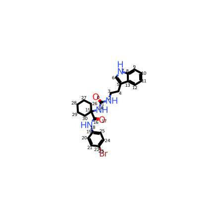 O=C(NCCc1c[nH]c2ccccc12)NC1(C(=O)Nc2ccc(Br)cc2)CCCCC1